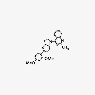 COc1ccc(-c2ccc3c(c2)CCN3c2nc(C)nc3ccccc23)c(OC)c1